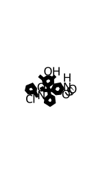 Cc1cc(C2(c3ccc(NS(C)(=O)=O)cc3)C(=O)N(Cc3ccccc3Cl)c3ccccc32)cc(C)c1O